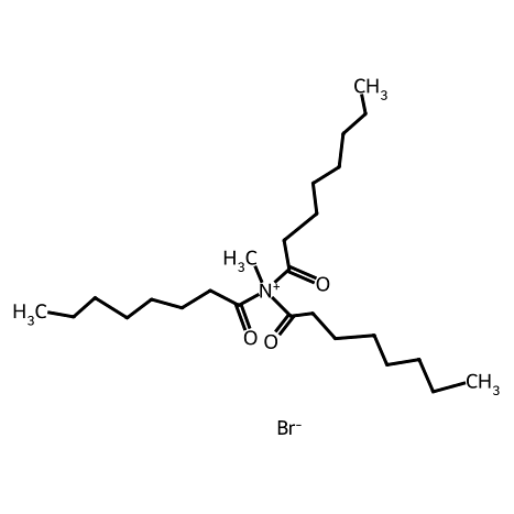 CCCCCCCC(=O)[N+](C)(C(=O)CCCCCCC)C(=O)CCCCCCC.[Br-]